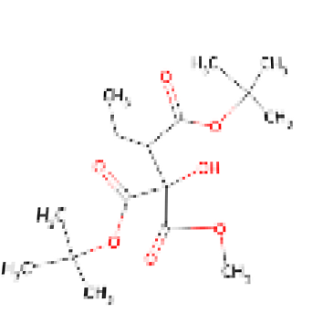 CCC(C(=O)OC(C)(C)C)C(O)(C(=O)OC)C(=O)OC(C)(C)C